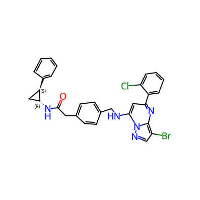 O=C(Cc1ccc(CNc2cc(-c3ccccc3Cl)nc3c(Br)cnn23)cc1)N[C@@H]1C[C@H]1c1ccccc1